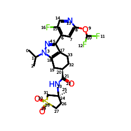 CC(C)n1nc(-c2cc(OC(F)F)ncc2F)c2c1C[C@H](C(=O)N[C@@]1(C)CCS(=O)(=O)C1)CC2